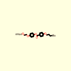 CCCCCCOCCOc1ccc(OC(=O)c2ccc(OCCCC(C)CC)cc2)cc1